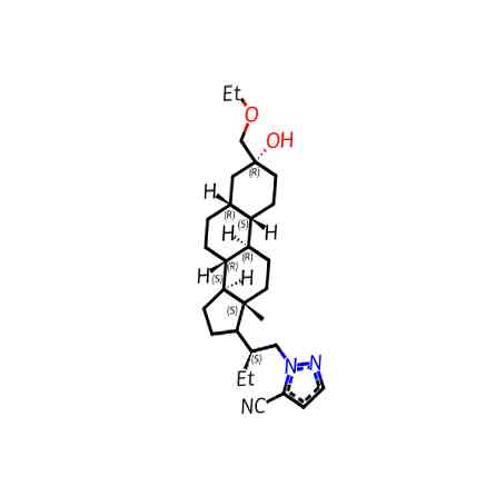 CCOC[C@@]1(O)CC[C@H]2[C@H](CC[C@@H]3[C@@H]2CC[C@]2(C)C([C@H](CC)Cn4nccc4C#N)CC[C@@H]32)C1